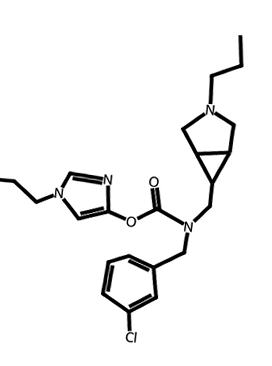 CCCN1CC2C(C1)C2CN(Cc1cccc(Cl)c1)C(=O)Oc1cn(CCC)cn1